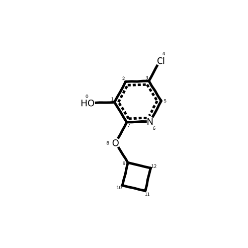 Oc1cc(Cl)cnc1OC1CCC1